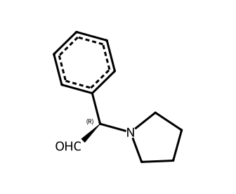 O=C[C@@H](c1ccccc1)N1CCCC1